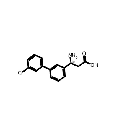 N[C@@H](CC(=O)O)c1cccc(-c2cccc(Cl)c2)c1